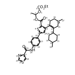 CCOC(=O)OC(C)OC(=O)c1sc(-c2ccc(NC(=O)c3cscn3)cc2)cc1C1=C(C2CCC(C)CC2)CN(C)CC1